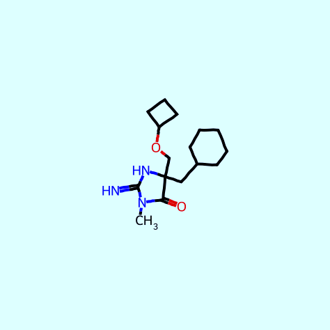 CN1C(=N)NC(COC2CCC2)(CC2CCCCC2)C1=O